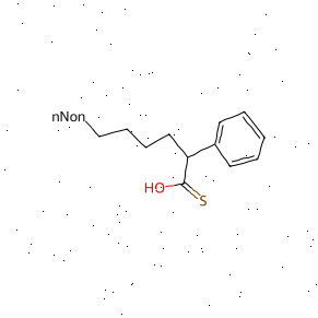 CCCCCCCCCCCCCC(C(O)=S)c1ccccc1